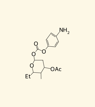 CCC1OC(OC(=O)Oc2ccc(N)cc2)CC(OC(C)=O)C1C